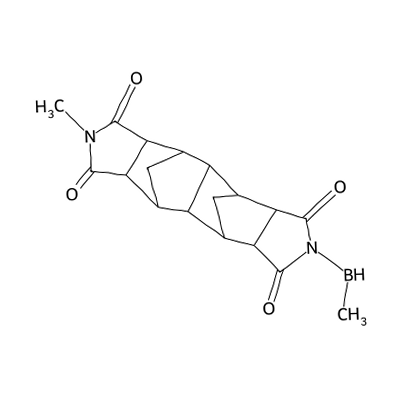 CBN1C(=O)C2C3CC(C2C1=O)C1C2CC(C4C(=O)N(C)C(=O)C24)C31